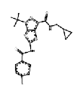 Cc1ccc(C(=O)Nc2nc3c(s2)c(C(=O)NCC2CC2)nn3C(C)(C)C)cc1